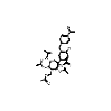 CC(=O)OC[C@H]1[C@@H](OC(C)=O)[C@H](OC(C)=O)C[C@@](OC(C)=O)(c2ccc(Cl)c(Cc3ccc(C(C)=O)cc3)c2)[C@@H]1OC(C)=O